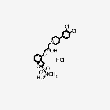 CN(C)S(=O)(=O)c1cc2c(OC[C@@H](O)CN3CCC(c4ccc(Cl)c(Cl)c4)CC3)cccc2o1.Cl